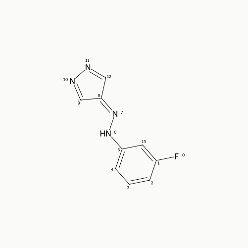 Fc1cccc(NN=C2[C]=NN=C2)c1